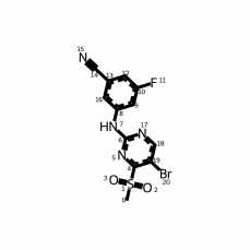 CS(=O)(=O)c1nc(Nc2cc(F)cc(C#N)c2)ncc1Br